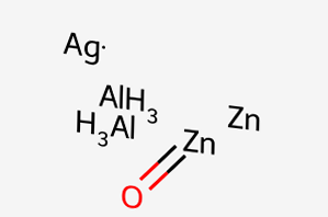 [Ag].[AlH3].[AlH3].[O]=[Zn].[Zn]